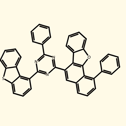 c1ccc(-c2nc(-c3cccc4sc5ccccc5c34)nc(-c3cc4cccc(-c5ccccc5)c4c4oc5ccccc5c34)n2)cc1